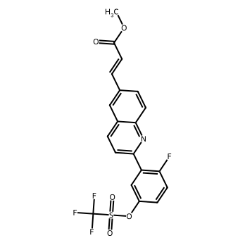 COC(=O)/C=C/c1ccc2nc(-c3cc(OS(=O)(=O)C(F)(F)F)ccc3F)ccc2c1